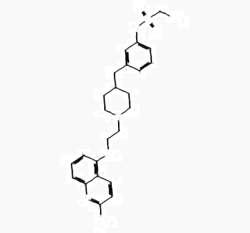 CCS(=O)(=O)Nc1cccc(CC2CCN(CCOc3cccc4nc(C)ccc34)CC2)c1